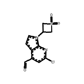 O=Cc1cc(Cl)nc2c1ccn2C1CS(=O)(=O)C1